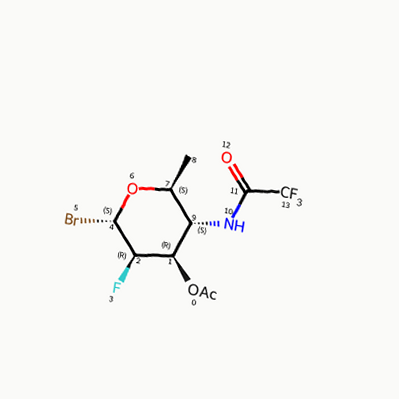 CC(=O)O[C@H]1[C@@H](F)[C@H](Br)O[C@@H](C)[C@@H]1NC(=O)C(F)(F)F